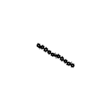 c1ccc2c(c1)sc1cc(-c3ccc(-c4ccc(-c5ccc6c(c5)sc5c7ccc(-c8ccc(-c9ccc(-c%10ccc%11c(c%10)sc%10ccccc%10%11)cc9)cc8)cc7sc65)cc4)cc3)ccc12